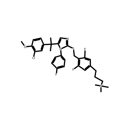 COc1ccc(C(C)(C)c2cnc(SCc3c(F)cc(CCC[N+](C)(C)C)cc3F)n2-c2ccc(F)cc2)cc1Cl